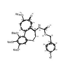 COc1cc2c(c(OC)c1OC)-c1ccc(OC)c(=O)cc1C(NC(=O)OCc1ccc(F)cc1)CC2